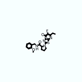 CCc1nc2sc(N3CCCC3C(=O)NCc3ccccc3OC)nn2c(=O)c1F